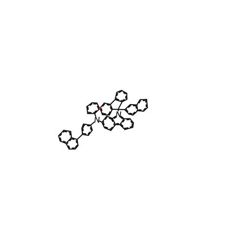 c1ccc(N(c2ccc(-c3cccc4ccccc34)cc2)c2ccc3c4ccccc4n(C4(c5ccc6ccccc6c5)c5ccccc5-c5ccccc54)c3c2)cc1